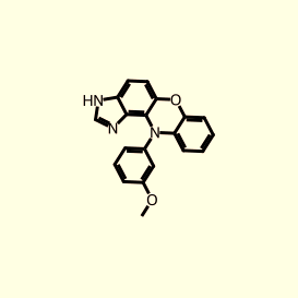 COc1cccc(N2c3ccccc3Oc3ccc4[nH]cnc4c32)c1